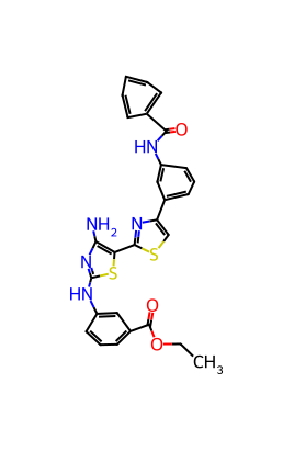 CCOC(=O)c1cccc(Nc2nc(N)c(-c3nc(-c4cccc(NC(=O)c5ccccc5)c4)cs3)s2)c1